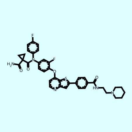 NC(=O)C1(C(=O)N(c2ccc(F)cc2)c2ccc(Oc3ccnc4cc(-c5ccc(C(=O)NCCN6CCCCC6)cc5)sc34)c(F)c2)CC1